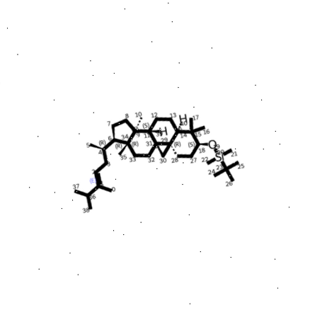 C/C(=C\C[C@@H](C)[C@H]1CC[C@@]2(C)[C@@H]3CC[C@H]4C(C)(C)[C@@H](O[Si](C)(C)C(C)(C)C)CC[C@@]45C[C@@]35CC[C@]12C)C(C)C